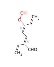 C=C/C(C=O)=C\C=C(/C=C)OO